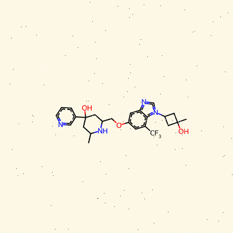 CC1CC(O)(c2cccnc2)CC(COc2cc(C(F)(F)F)c3c(c2)ncn3C2CC(C)(O)C2)N1